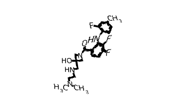 Cc1ccc(Nc2c(C(=O)N3CC(O)(CNCCN(C)C)C3)ccc(F)c2F)c(F)c1